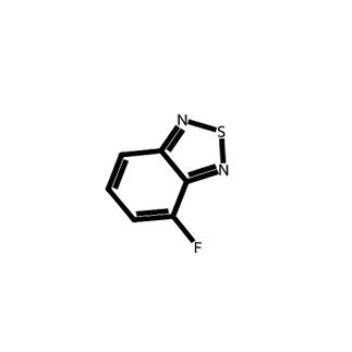 Fc1cccc2nsnc12